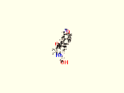 CC1(C)CC[C@]2(CNCCO)CC[C@]3(C)[C@H](C(=O)C=C4[C@@]5(C)Cc6cnoc6C(C)(C)[C@@H]5CC[C@]43C)[C@@H]2C1